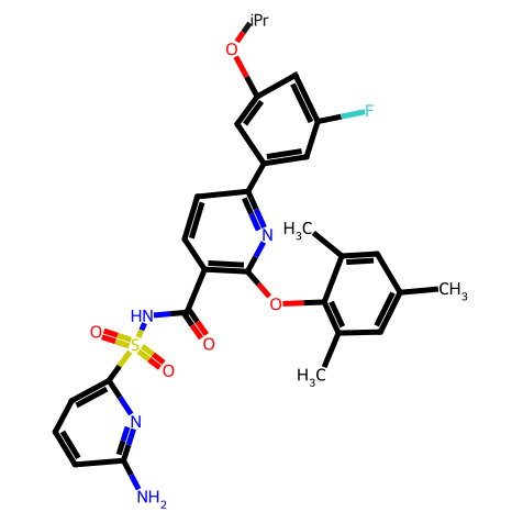 Cc1cc(C)c(Oc2nc(-c3cc(F)cc(OC(C)C)c3)ccc2C(=O)NS(=O)(=O)c2cccc(N)n2)c(C)c1